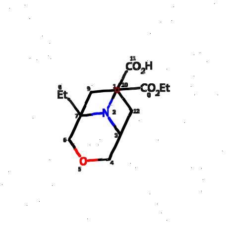 CCOC(=O)CN1C2COCC1(CC)CC(C(=O)O)C2